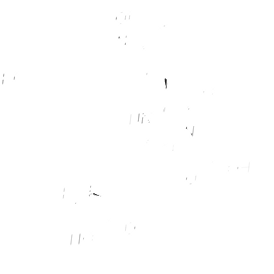 CCCCCN(O)C(=O)SC[C@H](NC(=O)CC[C@H](N)C(=O)O)C(=O)NCC(=O)O